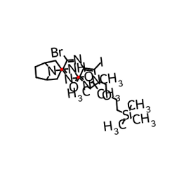 CC(C)(C)OC(=O)NC1CC2CCC(C1)N2c1nc2nn(COCC[Si](C)(C)C)c(I)c2nc1Br